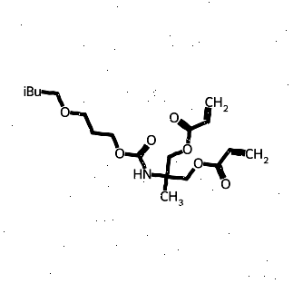 C=CC(=O)OCC(C)(COC(=O)C=C)NC(=O)OCCCOCC(C)CC